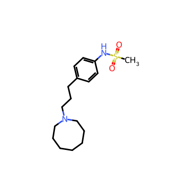 CS(=O)(=O)Nc1ccc(CCCN2CCCCCCC2)cc1